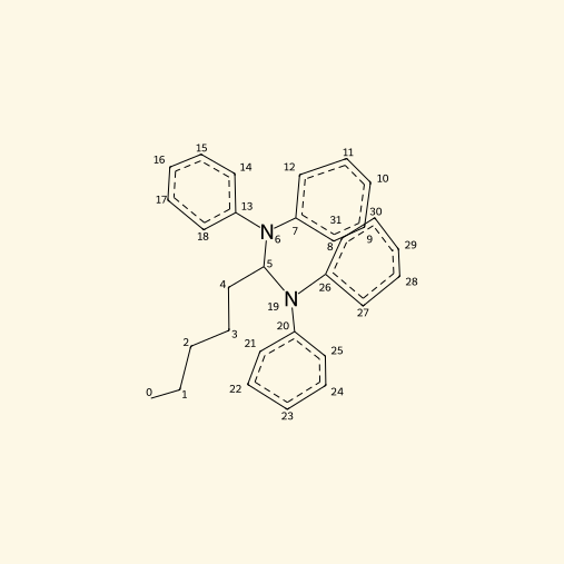 CCCCCC(N(c1ccccc1)c1ccccc1)N(c1ccccc1)c1ccccc1